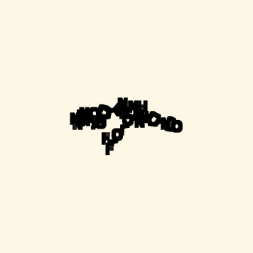 CC(Cn1cnnn1)Oc1cc(-c2cnc(Nc3cn(C4CCC(N5CCOCC5)CC4)nc3OCCCOCC(F)F)nc2)ccc1C#N